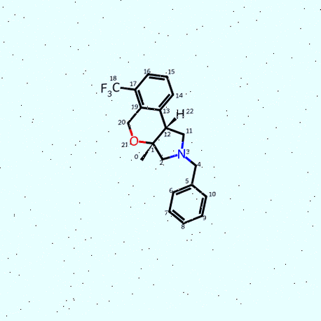 C[C@]12CN(Cc3ccccc3)C[C@H]1c1cccc(C(F)(F)F)c1CO2